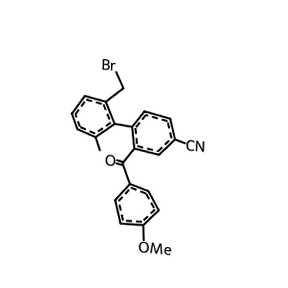 COc1ccc(C(=O)c2cc(C#N)ccc2-c2c(C)cccc2CBr)cc1